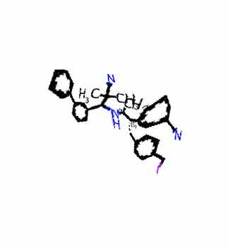 C[C@H](NC(c1cccc(-c2ccccc2)c1)C(C)(C)C#N)[C@@H](Cc1ccc(CI)cc1)c1cccc(C#N)c1